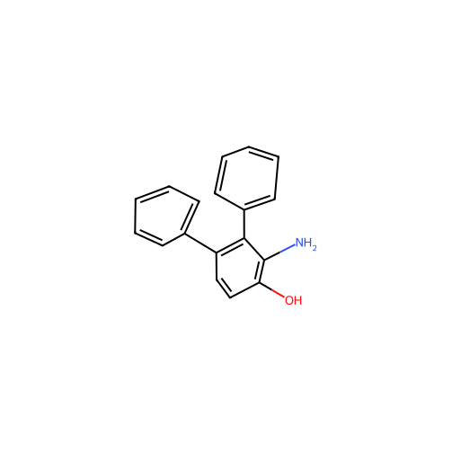 Nc1c(O)ccc(-c2ccccc2)c1-c1ccccc1